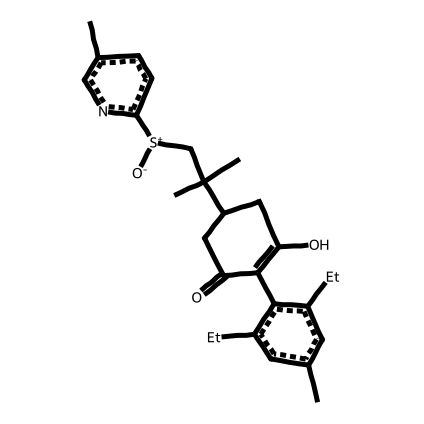 CCc1cc(C)cc(CC)c1C1=C(O)CC(C(C)(C)C[S+]([O-])c2ccc(C)cn2)CC1=O